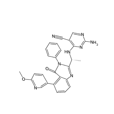 COc1ccc(-c2cccc3nc([C@@H](C)Nc4nc(N)ncc4C#N)n(-c4ccccc4)c(=O)c23)cn1